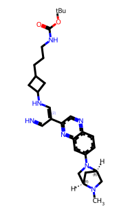 CN1C[C@H]2C[C@@H]1CN2c1ccc2ncc(/C(C=N)=C/NC3CC(CCCNC(=O)OC(C)(C)C)C3)nc2c1